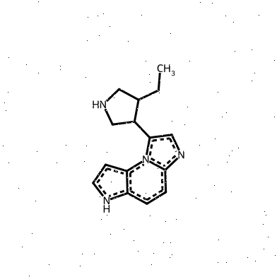 CCC1CNCC1c1cnc2ccc3[nH]ccc3n12